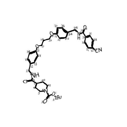 CC(C)(C)OC(=O)N1CCC(C(=O)NCc2ccc(OCCCOc3ccc(CNC(=O)c4ccc(C#N)cc4)cc3)cc2)CC1